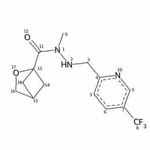 CN(NCc1ccc(C(F)(F)F)cn1)C(=O)C12CC(CO1)C2